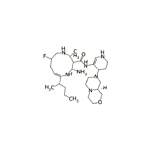 CCCC(C)/C1=C/CC(F)CNC(C)C(C(=O)NC2=CNCCC2N2CCN3CCOC[C@@H]3C2)C(N)N1